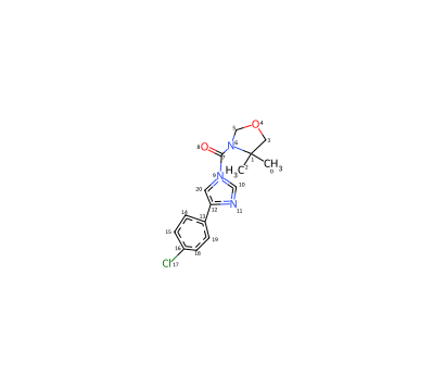 CC1(C)COCN1C(=O)n1cnc(-c2ccc(Cl)cc2)c1